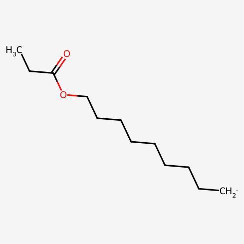 [CH2]CCCCCCCCOC(=O)CC